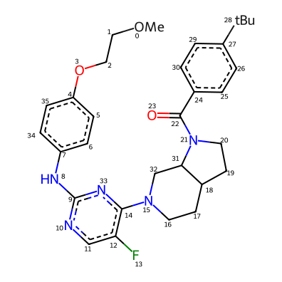 COCCOc1ccc(Nc2ncc(F)c(N3CCC4CCN(C(=O)c5ccc(C(C)(C)C)cc5)C4C3)n2)cc1